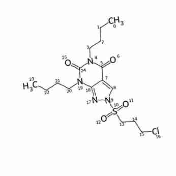 CCCCn1c(=O)c2cn(S(=O)(=O)CCCCl)nc2n(CCCC)c1=O